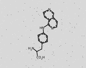 NC(Cc1ccc(Nc2nccc3cnccc23)cc1)C(=O)O